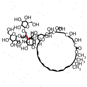 C[C@@H]1[C@H](O)[C@@H](C)/C=C/C=C/C=C/C=C/C=C/C=C/C=C/[C@H](O[C@@H]2O[C@H](C)[C@@H](O)[C@H](N)[C@@H]2O)C[C@@H]2O[C@](O)(C[C@@H](O)C[C@@H](O)[C@H](O)CC[C@@H](O)C[C@@H](O)CC(=O)O[C@H]1C)C[C@H](O)[C@H]2NC(=O)NC(CO[C@H]1O[C@H](CO)[C@@H](O)[C@H](O)[C@@H]1O)CO[C@H]1O[C@H](CO)[C@@H](O)[C@H](O)[C@@H]1O